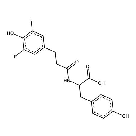 O=C(CCc1cc(I)c(O)c(I)c1)NC(Cc1ccc(O)cc1)C(=O)O